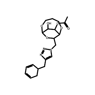 CC(=O)OC1C(O)C2OCCCOC1C(Cn1cc(CC3C=CC=CC3)nn1)O2